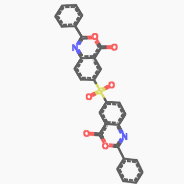 O=c1oc(-c2ccccc2)nc2ccc(S(=O)(=O)c3ccc4nc(-c5ccccc5)oc(=O)c4c3)cc12